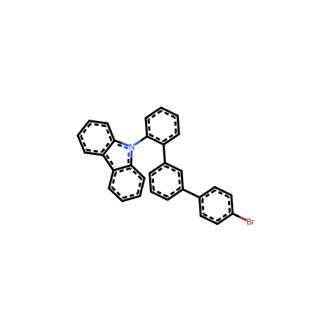 Brc1ccc(-c2cccc(-c3ccccc3-n3c4ccccc4c4ccccc43)c2)cc1